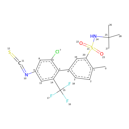 Cc1ccc(-c2c(Cl)cc(N=C=S)cc2C(F)(F)F)cc1S(=O)(=O)NC(C)(C)C